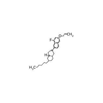 C=CCOc1cc(F)c2cc([C@@H]3CC[C@@H]4CC(CCCCCC)CCC4C3)ccc2c1